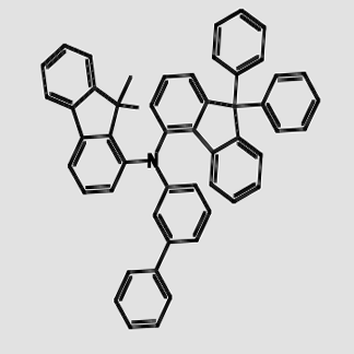 CC1(C)c2ccccc2-c2cccc(N(c3cccc(-c4ccccc4)c3)c3cccc4c3-c3ccccc3C4(c3ccccc3)c3ccccc3)c21